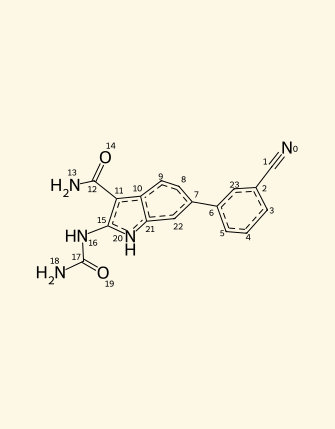 N#Cc1cccc(-c2ccc3c(C(N)=O)c(NC(N)=O)[nH]c3c2)c1